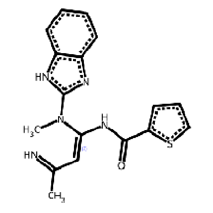 CC(=N)/C=C(/NC(=O)c1cccs1)N(C)c1nc2ccccc2[nH]1